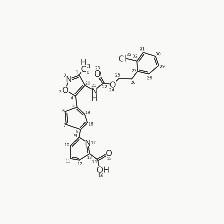 Cc1noc(-c2ccc(-c3cccc(C(=O)O)n3)cc2)c1NC(=O)OCCc1ccccc1Cl